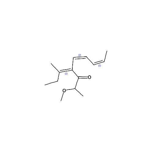 C\C=C/C=C\C(C(=O)C(C)OC)=C(/C)CC